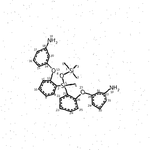 C[Si](C)(C)O[Si](C)(c1ccccc1Oc1cccc(N)c1)c1ccccc1Oc1cccc(N)c1